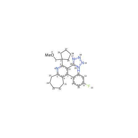 COCC1(c2nc3c(c(-c4ccc(F)cc4)c2-c2nnn[nH]2)CCCCC3)CCCC1